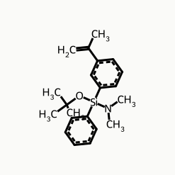 C=C(C)c1cccc([Si](OC(C)(C)C)(c2ccccc2)N(C)C)c1